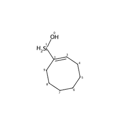 O[SiH2]C1=CCCCCCC1